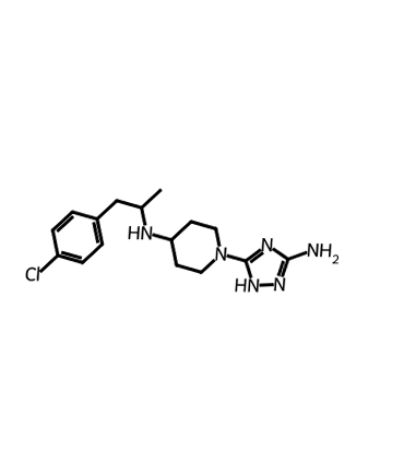 CC(Cc1ccc(Cl)cc1)NC1CCN(c2nc(N)n[nH]2)CC1